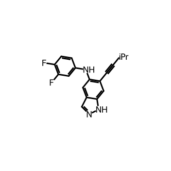 CC(C)C#Cc1cc2[nH]ncc2cc1Nc1ccc(F)c(F)c1